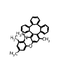 Cc1cc(C)c2c(c1)oc1cc(C)c3c4ccccc4c4ccccc4c4ccccc4c3c1n2C